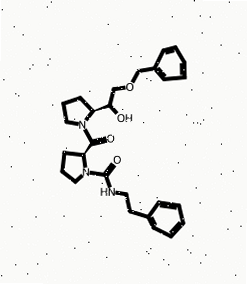 O=C(NCCc1ccccc1)N1CCC[C@H]1C(=O)N1CCC[C@H]1C(O)COCc1ccccc1